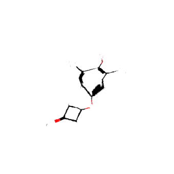 Cc1cc(OC2CC(=O)C2)cc(C)c1Br